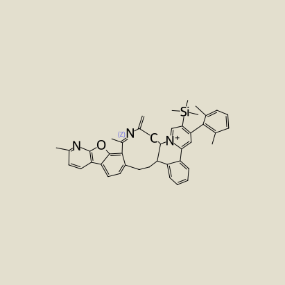 C=C1CC2C(CCc3ccc4c(oc5nc(C)ccc54)c3/C(C)=N\1)c1ccccc1-c1cc(-c3c(C)cccc3C)c([Si](C)(C)C)c[n+]12